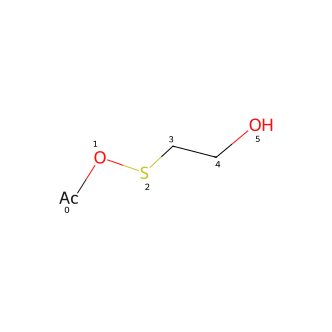 CC(=O)OSCCO